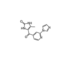 Cc1[nH]c(=O)[nH]c1C(=O)c1ccnc(-n2ccnc2)c1